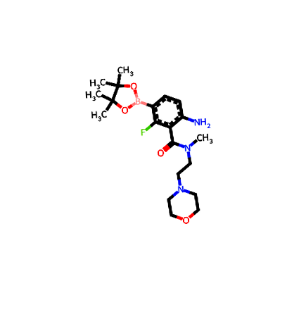 CN(CCN1CCOCC1)C(=O)c1c(N)ccc(B2OC(C)(C)C(C)(C)O2)c1F